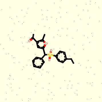 CCc1ccc(S(=O)(=O)C(c2ccccc2)c2cc(C(C)=O)c(C)o2)cc1